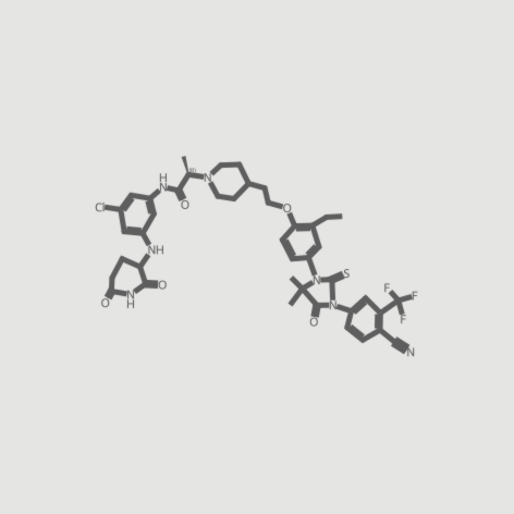 CCc1cc(N2C(=S)N(c3ccc(C#N)c(C(F)(F)F)c3)C(=O)C2(C)C)ccc1OCCC1CCN([C@H](C)C(=O)Nc2cc(Cl)cc(NC3CCC(=O)NC3=O)c2)CC1